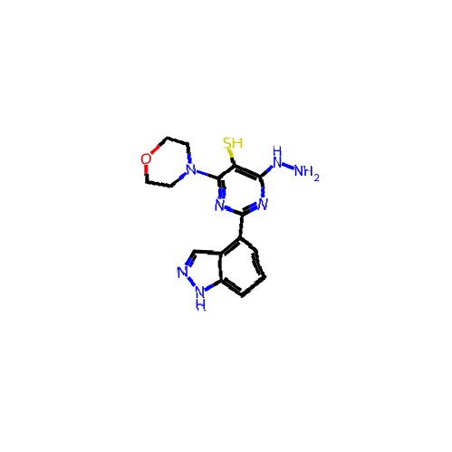 NNc1nc(-c2cccc3[nH]ncc23)nc(N2CCOCC2)c1S